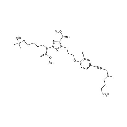 COC(=O)c1nc(N(CCCCO[Si](C)(C)C(C)(C)C)C(=O)OC(C)(C)C)sc1CCCOc1ccc(C#CCN(C)CCCS(=O)(=O)O)cc1F